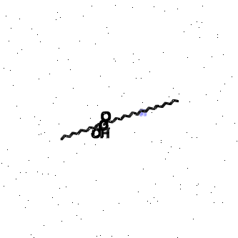 CCCCCCCC/C=C/CCCCCCCC(=O)OCC(O)CCCCCCCC